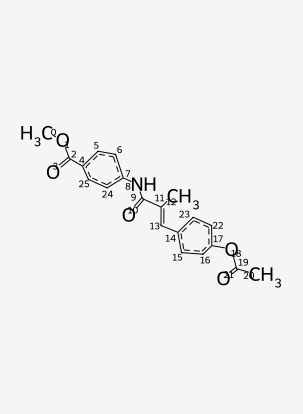 COC(=O)c1ccc(NC(=O)/C(C)=C/c2ccc(OC(C)=O)cc2)cc1